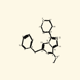 COc1nc(Cc2ccccc2)cn2c(C3CCOCC3)ncc12